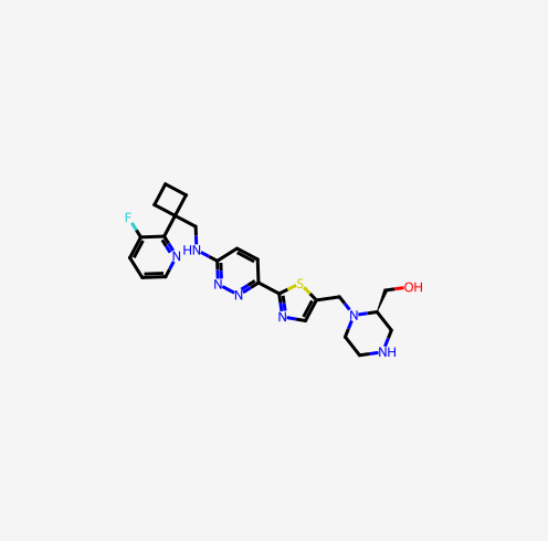 OC[C@H]1CNCCN1Cc1cnc(-c2ccc(NCC3(c4ncccc4F)CCC3)nn2)s1